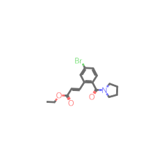 CCOC(=O)/C=C/c1cc(Br)ccc1C(=O)N1CCCC1